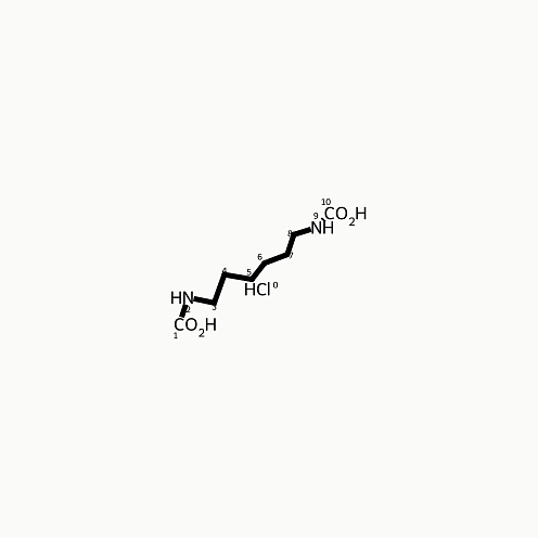 Cl.O=C(O)NCCCCCCNC(=O)O